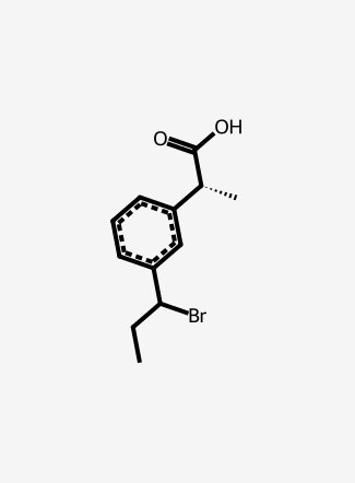 CCC(Br)c1cccc([C@@H](C)C(=O)O)c1